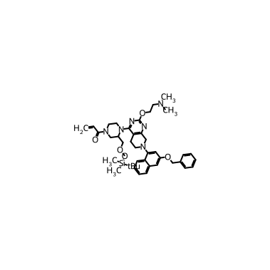 C=CC(=O)N1CCN(c2nc(OCCN(C)C)nc3c2CCN(c2cc(OCc4ccccc4)cc4ccccc24)C3)C(COO[Si](C)(C)C(C)(C)C)C1